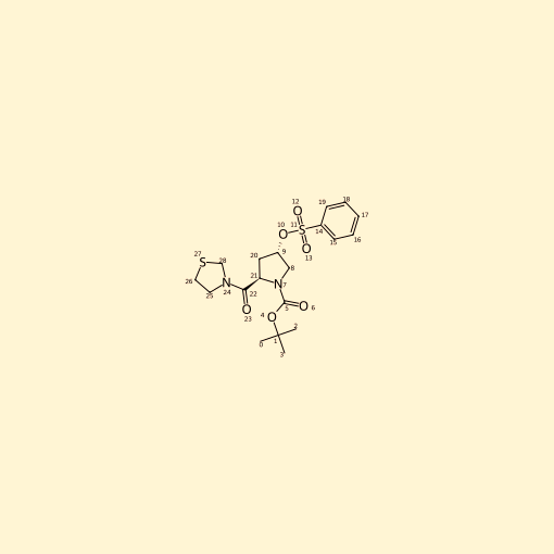 CC(C)(C)OC(=O)N1C[C@@H](OS(=O)(=O)c2ccccc2)C[C@@H]1C(=O)N1CCSC1